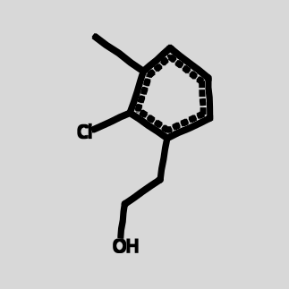 Cc1cccc(CCO)c1Cl